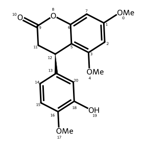 COc1cc(OC)c2c(c1)OC(=O)C[C@@H]2c1ccc(OC)c(O)c1